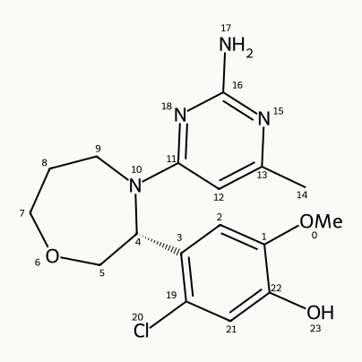 COc1cc([C@@H]2COCCCN2c2cc(C)nc(N)n2)c(Cl)cc1O